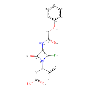 C=C(C)C(CC(=O)O)N1C(=O)C(NC(=O)COc2ccccc2)C1F